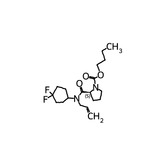 C=CCN(C(=O)[C@@H]1CCCN1C(=O)OCCCC)C1CCC(F)(F)CC1